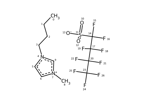 CCCCn1cc[n+](C)c1.O=S(=O)([O-])C(F)(F)C(F)(F)C(F)(F)C(F)(F)F